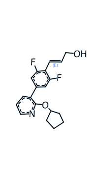 OC/C=C/c1c(F)cc(-c2cccnc2OC2CCCC2)cc1F